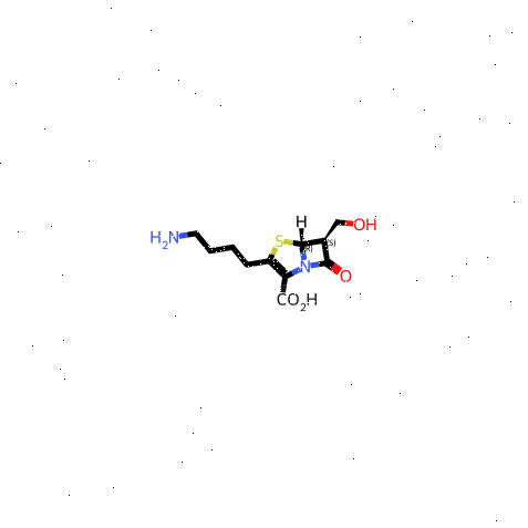 NCCCCC1=C(C(=O)O)N2C(=O)[C@H](CO)[C@H]2S1